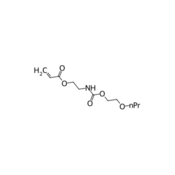 C=CC(=O)OCCNC(=O)OCCOCCC